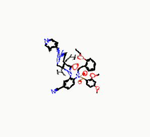 CCOc1ccccc1C(=O)N(c1ccc(C#N)cc1N1C[C@H]2CN(c3ccncc3)C[C@H]21)S(=O)(=O)c1ccc(OC)cc1OC